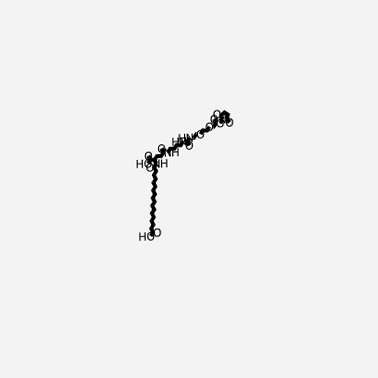 O=C(O)CCCCCCCCCCCCCCCCC(=O)NC(CCC(=O)NCCCCNC(=O)NCCOCCOCC(=O)ON1C(=O)CCC1=O)C(=O)O